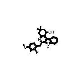 COc1ccc(Cc2nc3c(c4c2[nH]c2ccccc24)C(O)CC(C)(C)C3)c(F)c1F